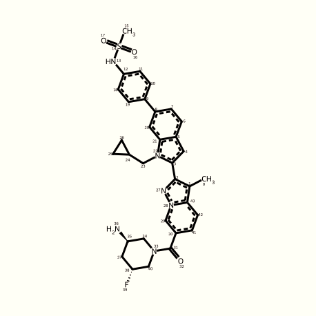 Cc1c(-c2cc3ccc(-c4ccc(NS(C)(=O)=O)cc4)cc3n2CC2CC2)nn2cc(C(=O)N3C[C@H](N)C[C@@H](F)C3)ccc12